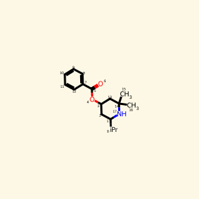 CC(C)C1CC(OC(=O)c2ccccc2)CC(C)(C)N1